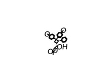 COc1ccc(C2(c3ccc(OC)cc3)C[C@@H](C(O)COC(C)=O)[C@@H]2c2ccccc2)cc1